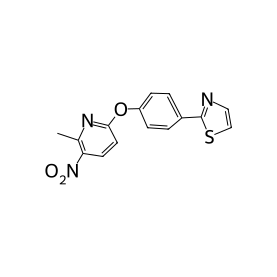 Cc1nc(Oc2ccc(-c3nccs3)cc2)ccc1[N+](=O)[O-]